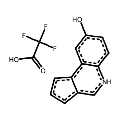 O=C(O)C(F)(F)F.Oc1ccc2[nH]cc3cccc-3c2c1